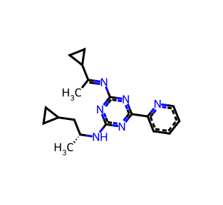 C/C(=N\c1nc(N[C@H](C)CC2CC2)nc(-c2ccccn2)n1)C1CC1